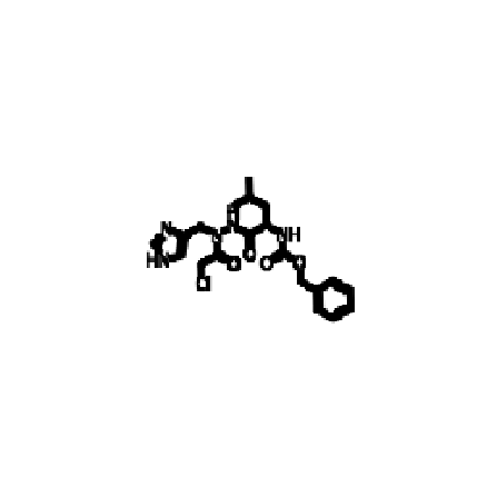 CC(C)CC(NC(=O)OCc1ccccc1)C(=O)NN(Cc1c[nH]cn1)C(=O)CCl